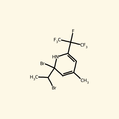 CC1=[C]C(Br)(C(C)Br)NC(C(F)(C(F)(F)F)C(F)(F)F)=C1